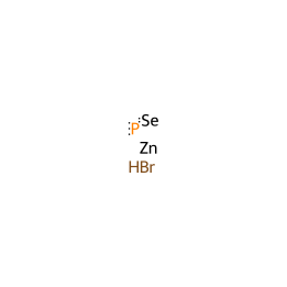 Br.[P].[Se].[Zn]